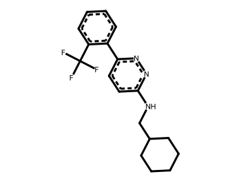 FC(F)(F)c1ccccc1-c1ccc(NCC2CCCCC2)nn1